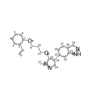 C=Cc1ccccc1OCCCOc1c(-c2ccc3cn[nH]c3c2)cnn1C